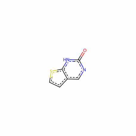 O=c1ncc2ccsc2[nH]1